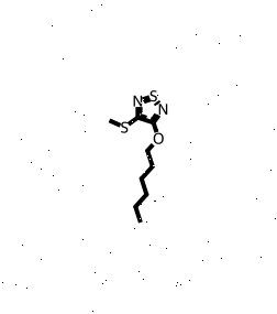 CCCCCCOc1nsnc1SC